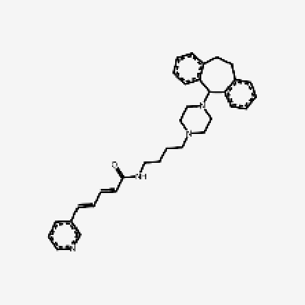 O=C(C=CC=Cc1cccnc1)NCCCCN1CCN(C2c3ccccc3CCc3ccccc32)CC1